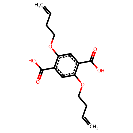 C=CCCOc1cc(C(=O)O)c(OCCC=C)cc1C(=O)O